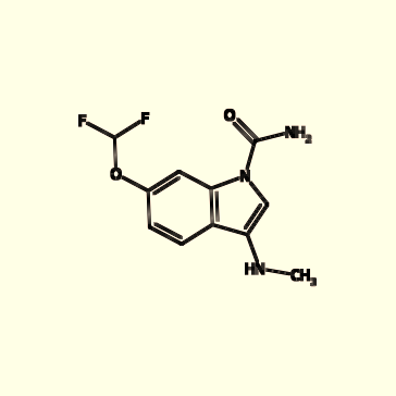 CNc1cn(C(N)=O)c2cc(OC(F)F)ccc12